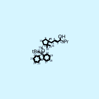 CC(C)[C@H](O)/C=C/[C@H](C)[C@@]1(C)CC[C@@H](CO[Si](c2ccccc2)(c2ccccc2)C(C)(C)C)C1(C)C